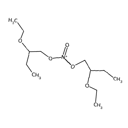 CCOC(CC)CO[N+](=O)OCC(CC)OCC